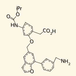 CC(C)OC(=O)Nc1ccc(CC(=O)O)c(OCc2cc(-c3cccc(CN)c3)c3occc3c2)c1